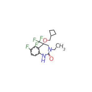 CCN1C[C@](OCC2CCC2)(C(F)(F)F)c2cc(F)ccc2NC1=O